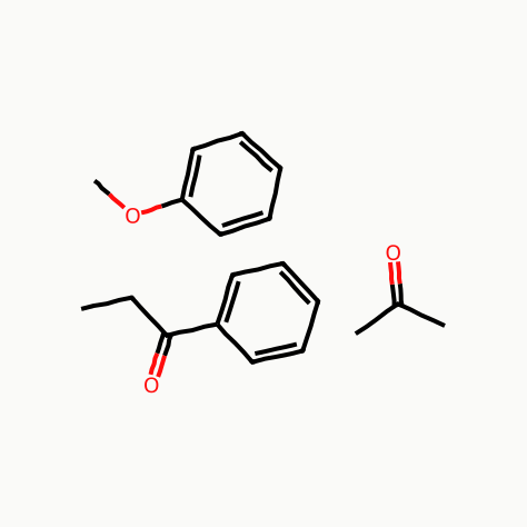 CC(C)=O.CCC(=O)c1ccccc1.COc1ccccc1